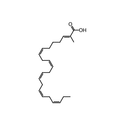 CC/C=C\C/C=C\C/C=C\C/C=C\C/C=C\CCC/C=C(\C)C(=O)O